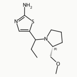 CCC(c1cnc(N)s1)N1CCC[C@@H]1COC